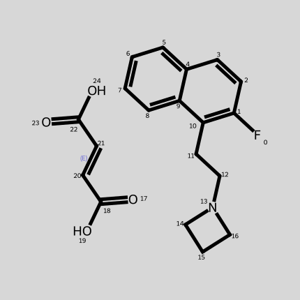 Fc1ccc2ccccc2c1CCN1CCC1.O=C(O)/C=C/C(=O)O